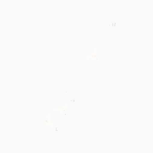 C=C(C)COCCCCCC([SiH3])(OCC)OCC